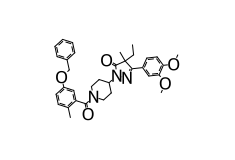 CCC1(C)C(=O)N(C2CCN(C(=O)c3cc(OCc4ccccc4)ccc3C)CC2)N=C1c1ccc(OC)c(OC)c1